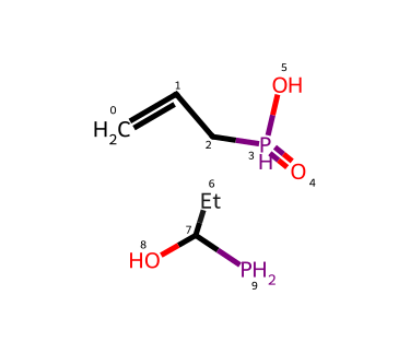 C=CC[PH](=O)O.CCC(O)P